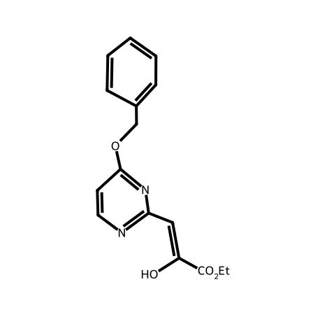 CCOC(=O)C(O)=Cc1nccc(OCc2ccccc2)n1